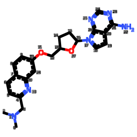 CN(C)Cc1ccc2ccc(OCC3CCC(n4ccc5c(N)ncnc54)O3)cc2n1